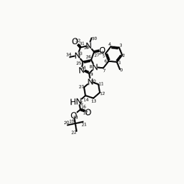 Cc1ccccc1Cn1c(N2CCCC(NC(=O)OC(C)(C)C)C2)nc2c1c(=O)n(C)c(=O)n2C